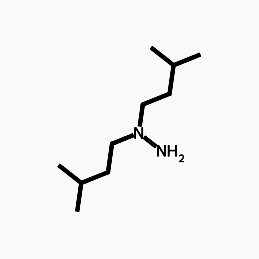 CC(C)CCN(N)CCC(C)C